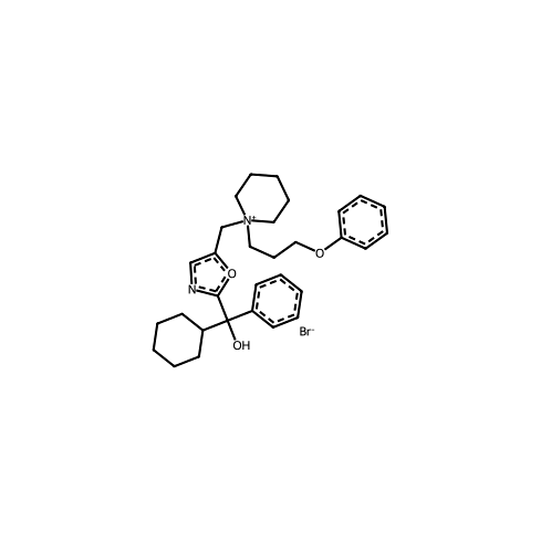 OC(c1ccccc1)(c1ncc(C[N+]2(CCCOc3ccccc3)CCCCC2)o1)C1CCCCC1.[Br-]